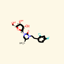 CC1=CN([C@@H]2O[C@H](CO)[C@H](O)[C@@H]2O)C(=O)N(CCc2ccc(F)cc2F)C1